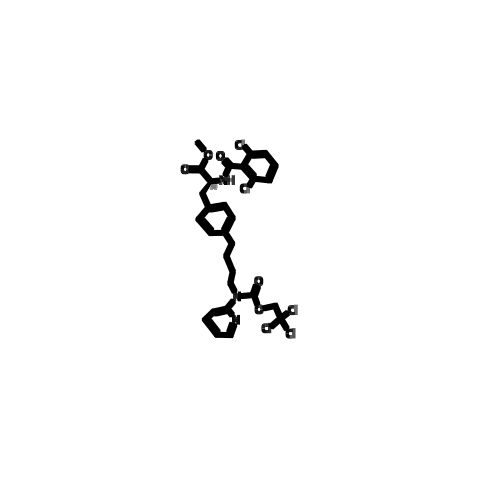 COC(=O)[C@H](Cc1ccc(CCCCN(C(=O)OCC(Cl)(Cl)Cl)c2ccccn2)cc1)NC(=O)c1c(Cl)cccc1Cl